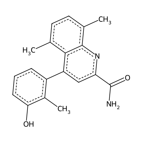 Cc1c(O)cccc1-c1cc(C(N)=O)nc2c(C)ccc(C)c12